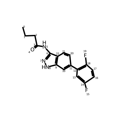 CCCC(=O)Nc1n[nH]c2cc(-c3cc(F)ccc3F)ccc12